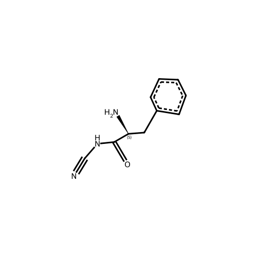 N#CNC(=O)[C@@H](N)Cc1ccccc1